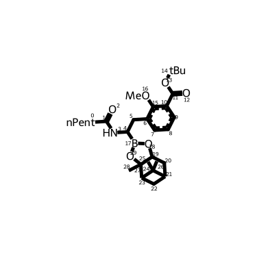 CCCCCC(=O)NC(Cc1cccc(C(=O)OC(C)(C)C)c1OC)B1OC2CC3CC(C3(C)C)C2(C)O1